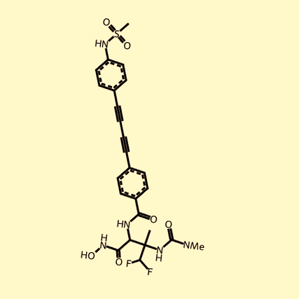 CNC(=O)NC(C)(C(F)F)C(NC(=O)c1ccc(C#CC#Cc2ccc(NS(C)(=O)=O)cc2)cc1)C(=O)NO